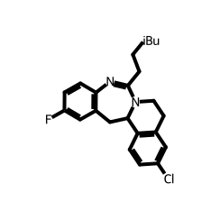 CCC(C)CCC1=Nc2ccc(F)cc2CC2c3ccc(Cl)cc3CCN12